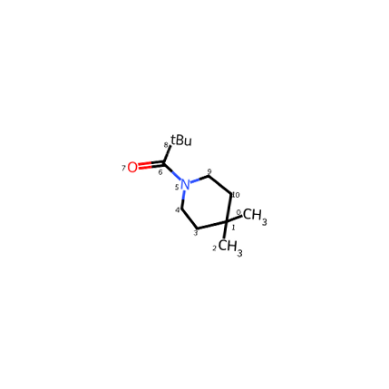 CC1(C)CCN(C(=O)C(C)(C)C)CC1